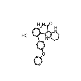 Cl.NC(=O)c1c(-c2ccccc2-c2ccc(Oc3ccccc3)cc2)nn2c1NCCC2